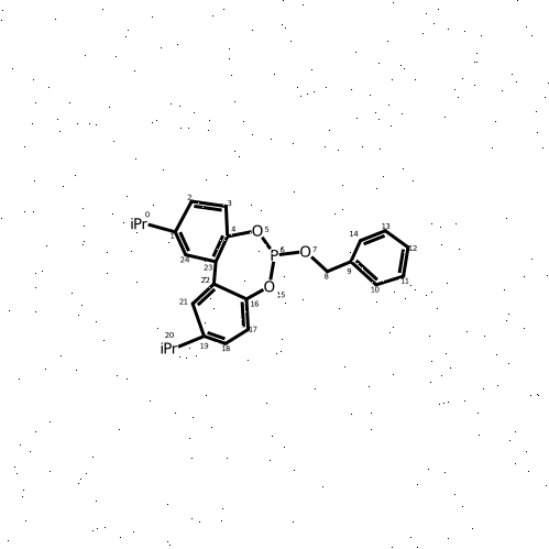 CC(C)c1ccc2op(OCc3ccccc3)oc3ccc(C(C)C)cc3c2c1